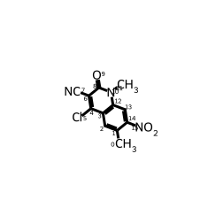 Cc1cc2c(Cl)c(C#N)c(=O)n(C)c2cc1[N+](=O)[O-]